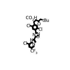 CC(C)(C)CC(=O)C(Cc1cc(Cl)c(-c2noc(-c3cn4cc(C(F)(F)F)cc(Cl)c4n3)n2)cc1Cl)C(=O)O